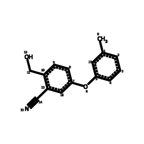 Cc1cccc(Oc2ccc(CO)c(C#N)c2)c1